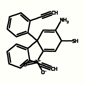 C#Cc1ccccc1C1(c2ccccc2C#C)C=C(N)C(S)C=C1[N+](=O)[O-]